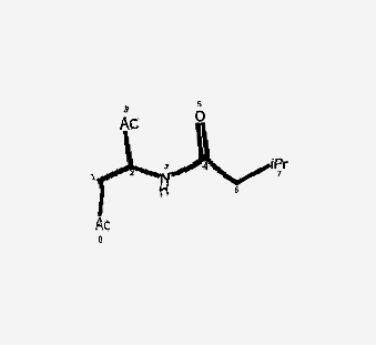 CC(=O)CC(NC(=O)CC(C)C)C(C)=O